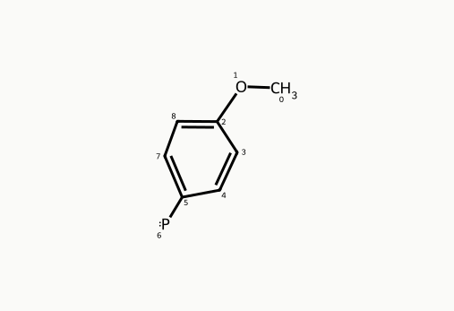 COc1ccc([P])cc1